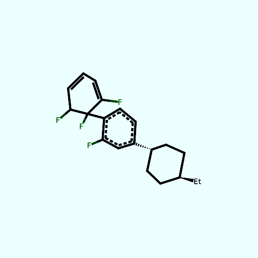 CC[C@H]1CC[C@H](c2ccc(C3(F)C(F)=CC=CC3F)c(F)c2)CC1